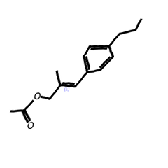 CCCc1ccc(/C=C(\C)COC(C)=O)cc1